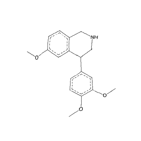 COc1ccc2c(c1)C(c1ccc(OC)c(OC)c1)CNC2